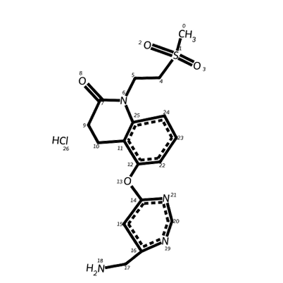 CS(=O)(=O)CCN1C(=O)CCc2c(Oc3cc(CN)ncn3)cccc21.Cl